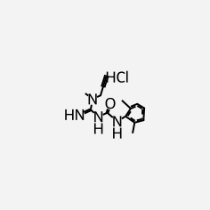 C#CCN(C)C(=N)NC(=O)Nc1c(C)cccc1C.Cl